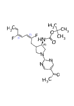 C=C/C(F)=C\C=C(\F)CC1CN(c2ncc(C(C)=O)cn2)C[C@@H]1NC(=O)OC(C)(C)C